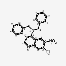 O=[N+]([O-])c1cc2c(N(Cc3ccccc3)Cc3ccccc3)ncnc2cc1Cl